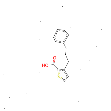 O=C(O)c1sccc1CCCc1ccccc1